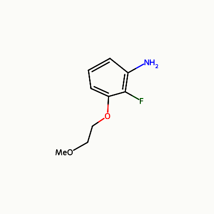 COCCOc1cccc(N)c1F